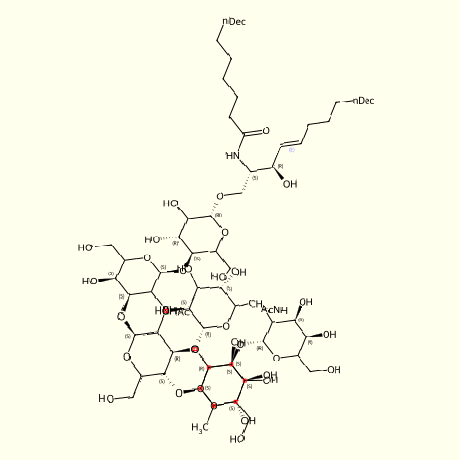 CCCCCCCCCCCCC/C=C/[C@@H](O)[C@H](CO[C@@H]1OC(CO)[C@@H](O[C@@H]2OC(CO)[C@H](O)[C@H](O[C@@H]3OC(CO)[C@@H](O[C@@H]4OC(CO)[C@H](O)[C@H](O[C@H]5OC(CO)[C@H](O)[C@H](O)C5NC(C)=O)C4O[C@H]4OC(C)[C@@H](O)C(O)[C@@H]4O)[C@H](O[C@H]4OC(C)[C@@H](O)C(O)[C@@H]4O)C3NC(C)=O)C2O)[C@H](O)C1O)NC(=O)CCCCCCCCCCCCCCC